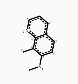 CSc1ccc2cccnc2c1C